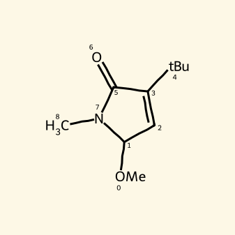 COC1C=C(C(C)(C)C)C(=O)N1C